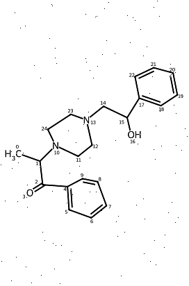 CC(C(=O)c1ccccc1)N1CCN(CC(O)c2ccccc2)CC1